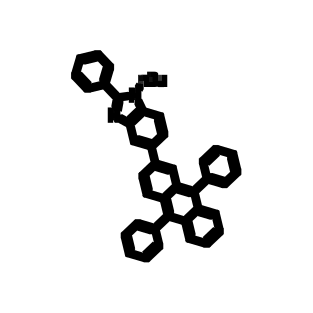 CCCCn1c(-c2ccccc2)nc2cc(-c3ccc4c(-c5ccccc5)c5ccccc5c(-c5ccccc5)c4c3)ccc21